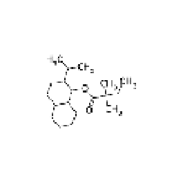 CCC(C)(C)C(=O)OC1C(C(C)C)CCC2CCCCC21